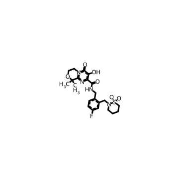 CC1(C)OCCn2c1nc(C(=O)NCc1ccc(F)cc1CN1CCCCS1(=O)=O)c(O)c2=O